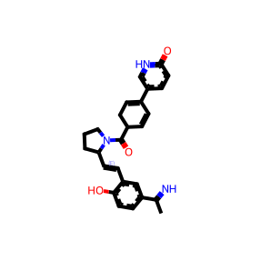 CC(=N)c1ccc(O)c(/C=C/C2CCCN2C(=O)C2C=CC(c3ccc(=O)[nH]c3)=CC2)c1